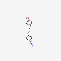 COc1ccc(CCCCc2ccc(C#N)cc2)cc1